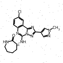 Cn1cc(-c2nc3c4cc(Cl)ccc4nc(N[C@@H]4CCCCNC4=O)n3n2)cn1